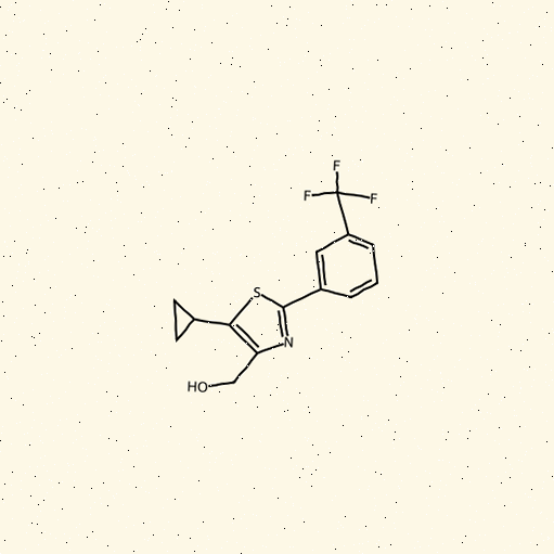 OCc1nc(-c2cccc(C(F)(F)F)c2)sc1C1CC1